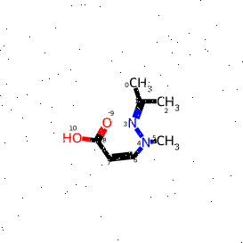 CC(C)=NN(C)/C=C\C(=O)O